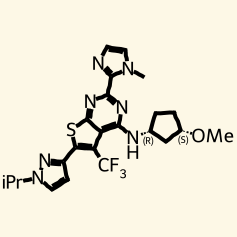 CO[C@H]1CC[C@@H](Nc2nc(-c3nccn3C)nc3sc(-c4ccn(C(C)C)n4)c(C(F)(F)F)c23)C1